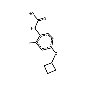 O=C(O)Nc1ccc(OC2CCC2)cc1I